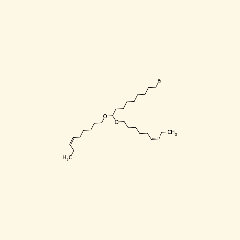 CC/C=C\CCCCCOC(CCCCCCCCBr)OCCCCC/C=C\CC